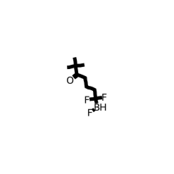 CC(C)(C)C(=O)CCCC(F)(F)BF